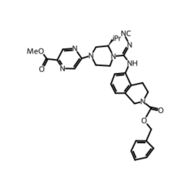 COC(=O)c1cnc(N2CCN(/C(=N\C#N)Nc3cccc4c3CCN(C(=O)OCc3ccccc3)C4)[C@H](C(C)C)C2)cn1